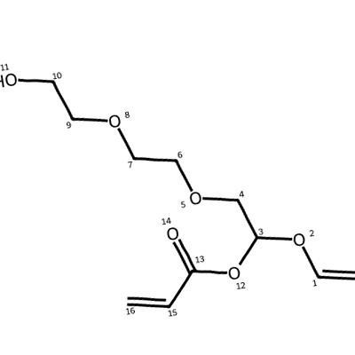 C=COC(COCCOCCO)OC(=O)C=C